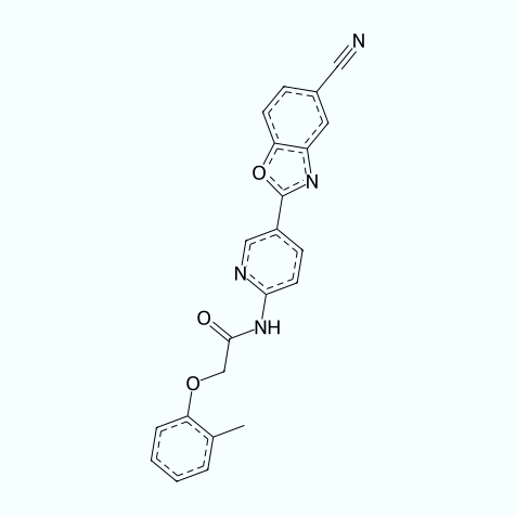 Cc1ccccc1OCC(=O)Nc1ccc(-c2nc3cc(C#N)ccc3o2)cn1